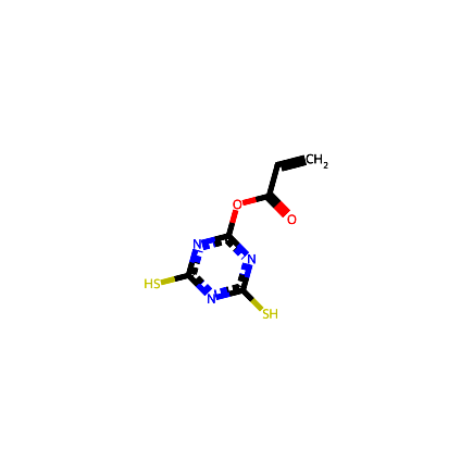 C=CC(=O)Oc1nc(S)nc(S)n1